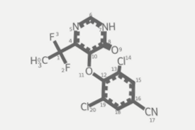 CC(F)(F)c1nc[nH]c(=O)c1Oc1c(Cl)cc(C#N)cc1Cl